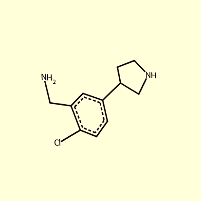 NCc1cc(C2CCNC2)ccc1Cl